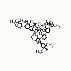 CCP(=O)(CC)c1ccc(-n2ccn(-c3c4c(nn3-c3cc(C)c(F)c(C)c3)CCCN(C(=O)c3cc5cc([C@H]6CCOC(C)(C)C6)ccc5n3[C@@]3(c5noc(=O)[nH]5)C[C@@H]3C)C4)c2=O)cc1NC